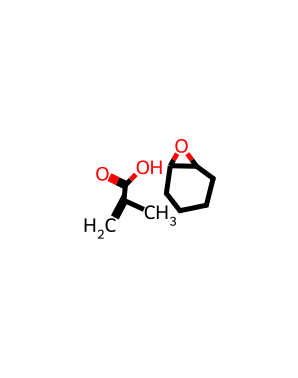 C1CCC2OC2C1.C=C(C)C(=O)O